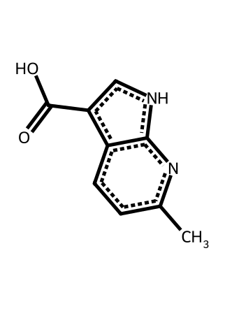 Cc1ccc2c(C(=O)O)c[nH]c2n1